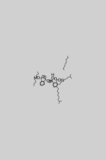 CC(C)CCCCCCc1ccc(C(=O)O)c(C(=O)O)c1CCCCCCC(C)C.CCCCCCCC.CCCCCCCC.O=C(O)c1ccccc1C(=O)O